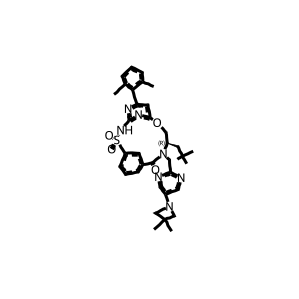 Cc1cccc(C)c1-c1cc2nc(n1)NS(=O)(=O)c1cccc(c1)C(=O)N(Cc1ncc(N3CC(C)(C)C3)cn1)[C@H](CC(C)(C)C)CO2